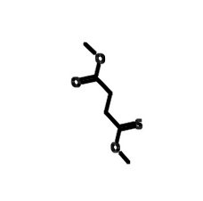 COC(=O)CCC(=S)OC